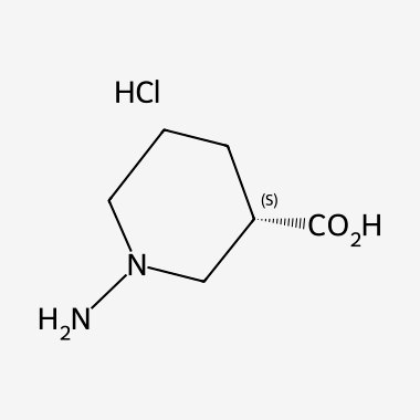 Cl.NN1CCC[C@H](C(=O)O)C1